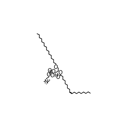 CCCCCCCC/C=C\CCCCCCCC(=O)OC(COCCCCCCCCCCCCCCCC)COP(=O)(O)OCC[N+](C)(C)C